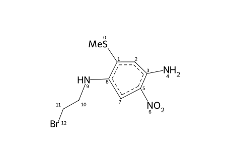 CSc1cc(N)c([N+](=O)[O-])cc1NCCBr